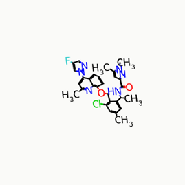 Cc1cc(Cl)c(COc2cccc3c(-n4cc(F)cn4)cc(C)nc23)c([C@H](C)NC(=O)c2cc(C)n(C)n2)c1